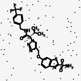 CC(C)[C@@H](C(=O)NCc1ccc(C(F)(F)F)cc1)n1cc(COc2ccc3nc(S(N)(=O)=O)sc3c2)nn1